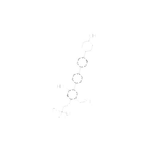 CCC(C)(CC)COc1cc(C)c(-c2ccc(-c3ccc(C4CCC(C)CC4)cc3)cc2)cc1CP